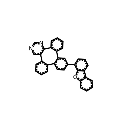 c1ccc2c(c1)-c1ccc(-c3cccc4c3oc3ccccc34)cc1-c1ccccc1-c1ncncc1-2